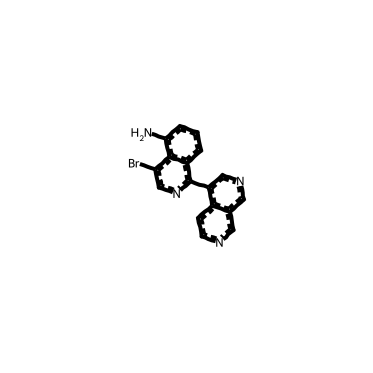 Nc1cccc2c(-c3cncc4cnccc34)ncc(Br)c12